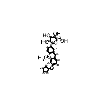 COc1ccc([C@@H]2O[C@H](CO)[C@@H](O)[C@H](O)[C@H]2O)cc1Cc1ccc(OC2CCCC2)cc1